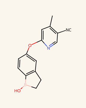 [C-]#[N+]c1cnc(Oc2ccc3c(c2)CCB3O)cc1C